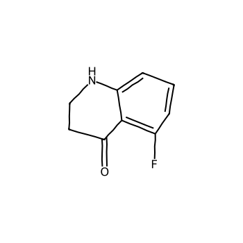 O=C1CCNc2cccc(F)c21